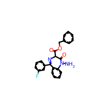 NN1C(=O)C(C(=O)OCc2ccccc2)N=C(c2cccc(F)c2)c2ccccc21